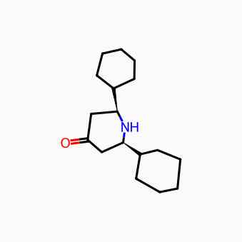 O=C1C[C@@H](C2CCCCC2)N[C@@H](C2CCCCC2)C1